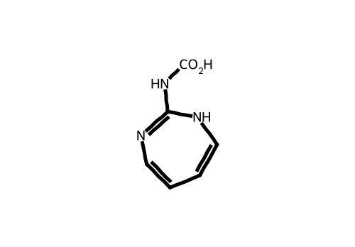 O=C(O)NC1=NC=CC=CN1